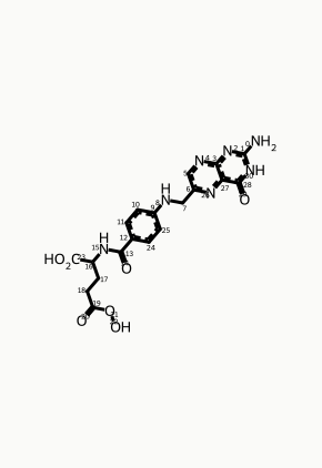 Nc1nc2ncc(CNc3ccc(C(=O)NC(CCC(=O)OO)C(=O)O)cc3)nc2c(=O)[nH]1